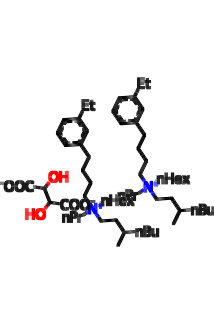 CCCCCC[N+](CCC)(CCCCc1cccc(CC)c1)CCC(C)CCCC.CCCCCC[N+](CCC)(CCCCc1cccc(CC)c1)CCC(C)CCCC.O=C([O-])C(O)C(O)C(=O)[O-]